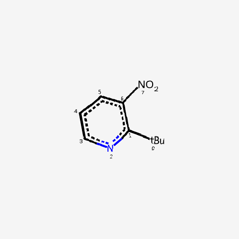 [CH2]C(C)(C)c1ncccc1[N+](=O)[O-]